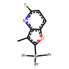 Cc1c([Si](C(C)C)(C(C)C)C(C)C)oc2ccc(F)nc12